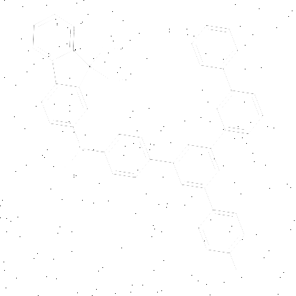 CCCCCCC1(CCCCCC)c2ccccc2-c2ccc(N(C)c3ccc(-c4cc(-c5ccc(C)cc5)cc(-c5cccc(-c6ccccc6)c5)c4)cc3)cc21